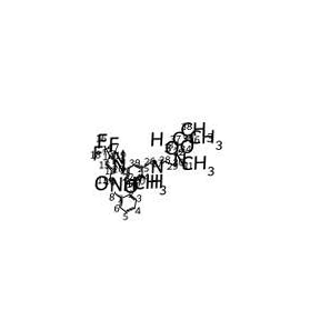 COc1ccccc1CNC(=O)c1cc(C(F)(F)F)nn1-c1cccc(CNCCN(C)C(=O)OC(C)(C)C)c1